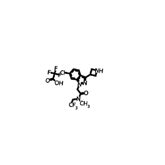 CN(CC(F)(F)F)C(=O)Cn1nc(C2CNC2)c2ccc(Cl)cc21.O=C(O)C(F)(F)F